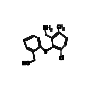 NCc1c(C(F)(F)F)ccc(Cl)c1Sc1ccccc1CO